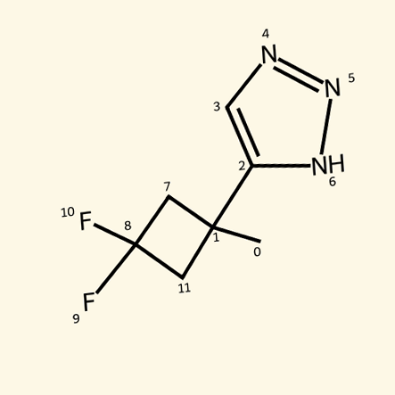 CC1(c2cnn[nH]2)CC(F)(F)C1